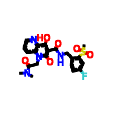 CN(C)C(=O)Cn1c(=O)c(C(=O)NCc2ccc(F)cc2S(C)(=O)=O)c(O)c2ncccc21